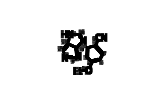 CCOc1ccc(C#N)cc1.c1ncc2[nH]cnc2n1